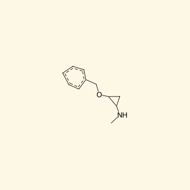 CNC1CC1OCc1ccccc1